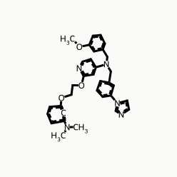 COc1cccc(CN(Cc2cccc(-n3ccnc3)c2)c2ccnc(OCCOc3cccc(N(C)C)c3)c2)c1